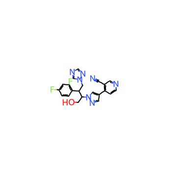 N#Cc1cnccc1-c1cnn(C(CO)C(Cn2cncn2)c2ccc(F)cc2F)c1